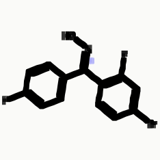 O/N=C(\c1ccc(F)cc1)c1ccc(Br)cc1F